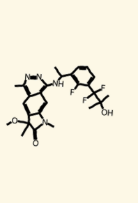 COC1(C)C(=O)N(C)c2cc3c(NC(C)c4cccc(C(F)(F)C(C)(C)O)c4F)nnc(C)c3cc21